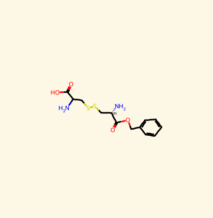 NC(CSSC[C@H](N)C(=O)OCc1ccccc1)C(=O)O